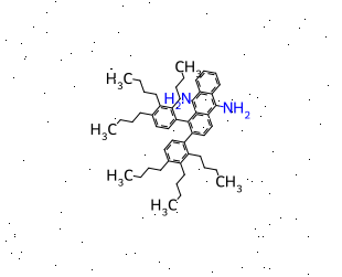 CCCCc1ccc(-c2ccc3c(N)c4ccccc4c(N)c3c2-c2ccc(CCCC)c(CCCC)c2CCCC)c(CCCC)c1CCCC